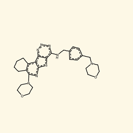 c1cc(CN2CCOCC2)ccc1CNc1nnnc2c1sc1nc(N3CCOCC3)c3c(c12)CCCC3